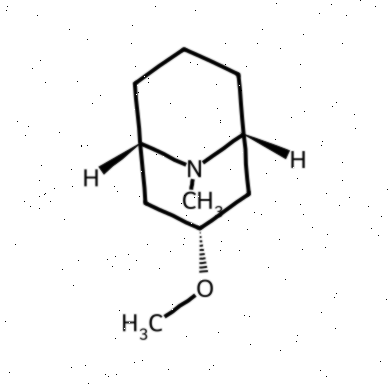 CO[C@H]1C[C@H]2CCC[C@@H](C1)N2C